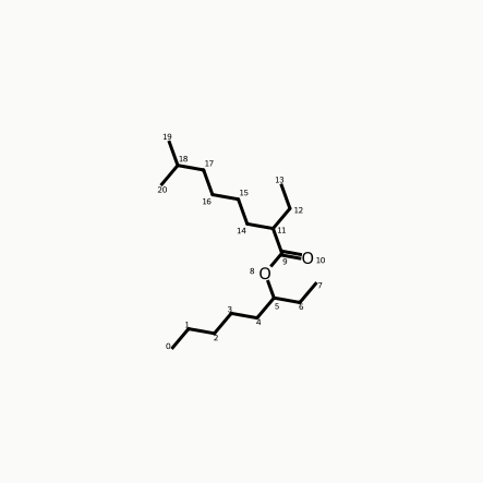 CCCCCC(CC)OC(=O)C(CC)CCCCC(C)C